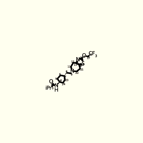 CC(C)C(=O)N[C@H]1CC[C@H](CCN2CCc3nc(OCC(F)(F)F)sc3CC2)CC1